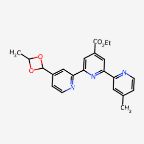 CCOC(=O)c1cc(-c2cc(C)ccn2)nc(-c2cc(C3OC(C)O3)ccn2)c1